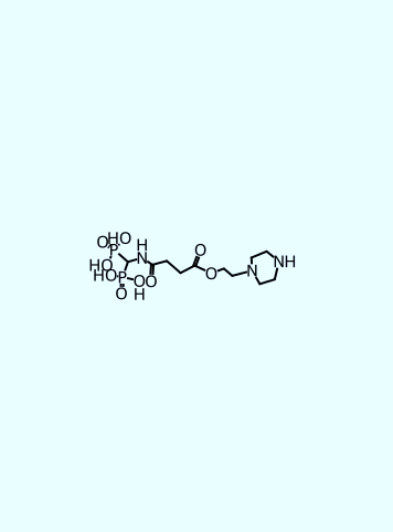 O=C(CCC(=O)OCCN1CCNCC1)NC(P(=O)(O)O)P(=O)(O)O